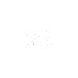 CN/C(=N\C(=N/Cc1c(-n2c3cc4ccccc4cc3c3ccc4ccccc4c32)ccc2c1oc1ccccc12)c1cccc(-c2ccccc2)c1)c1ccc2ccccc2c1